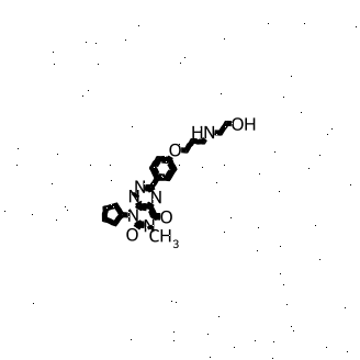 Cn1c(=O)c2nc(-c3ccc(OCCCNCCO)cc3)nnc2n(C2CCCC2)c1=O